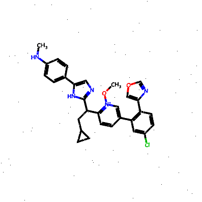 CNc1ccc(-c2cnc(C(CC3CC3)c3ccc(-c4cc(Cl)ccc4-c4cocn4)c[n+]3OC)[nH]2)cc1